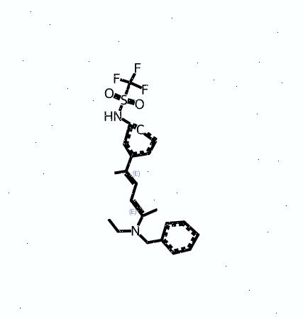 CCN(Cc1ccccc1)/C(C)=C/C=C(\C)c1cccc(NS(=O)(=O)C(F)(F)F)c1